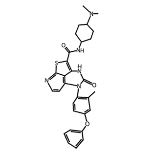 Cc1cc(Oc2ccccc2)ccc1N1C(=O)Nc2c(C(=O)NC3CCC(N(C)C)CC3)sc3nccc1c23